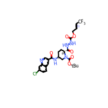 CC(C)(C)OC(=O)N1C[C@@H](NC(=O)c2cnc3cc(Cl)ccc3c2)CC[C@@H]1C(=O)NNC(=O)OC/C=C/C(F)(F)F